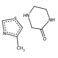 Cc1cscn1.O=C1CNCCN1